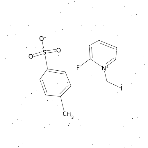 Cc1ccc(S(=O)(=O)[O-])cc1.Fc1cccc[n+]1CI